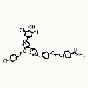 NC(=O)C1CCN(CCCOc2ccc(CN3CCN(c4cc(-c5cc(Cl)c(O)c(Cl)c5)nnc4OCCc4ccc(Cl)cc4)CC3)cc2)CC1